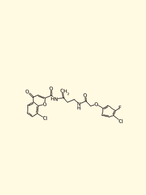 C=C(CCNC(=O)COc1ccc(Cl)c(F)c1)NC(=O)c1cc(=O)c2cccc(Cl)c2o1